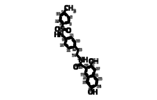 Cc1ccc(S(=O)(=O)Nc2ccc(CCNC(=O)c3cc4cc(O)ccc4cc3O)cc2)cc1